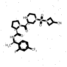 C[C@@H](NC(=O)[C@H]1CCCN1C(=O)[C@@H]1CN(S(=O)(=O)N2CC(C#N)C2)CCN1)c1ccc(C(F)(F)F)cc1F